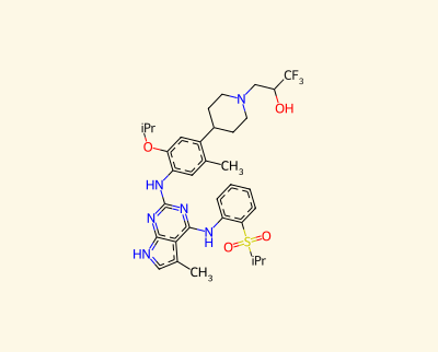 Cc1cc(Nc2nc(Nc3ccccc3S(=O)(=O)C(C)C)c3c(C)c[nH]c3n2)c(OC(C)C)cc1C1CCN(CC(O)C(F)(F)F)CC1